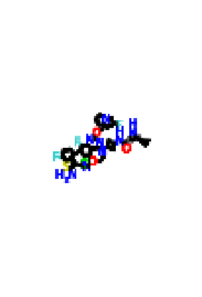 N#Cc1c(N)sc2c(F)ccc(-c3c(Cl)c4c5c(nc(OC[C@@]67CCCN6C[C@H](F)C7)nc5c3F)N(C3CC(NC(=O)[C@@H]5N[C@H]5C5CC5)C3)CCO4)c12